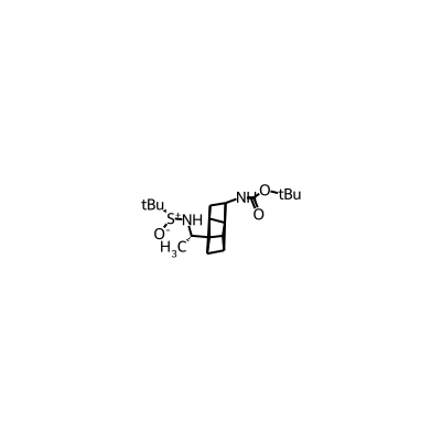 C[C@H](N[S@@+]([O-])C(C)(C)C)C12C3C4C1C1C2C3C41NC(=O)OC(C)(C)C